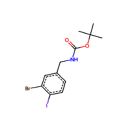 CC(C)(C)OC(=O)NCc1ccc(I)c(Br)c1